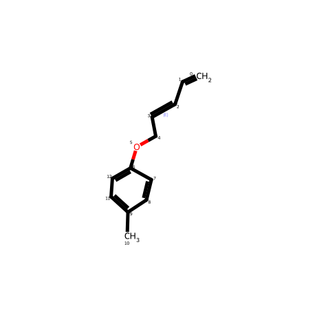 C=C/C=C/COc1ccc(C)cc1